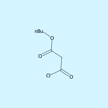 CCCCOC(=O)CC(=O)Cl